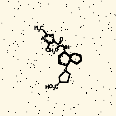 Cc1nc(C)c(S(=O)(=O)Nc2ccc(N3CC[C@H](C(=O)O)C3)c3ccccc23)s1